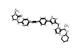 C[C@H](OC1CCCCO1)c1nccn1Cc1cc(-c2ccc(C#Cc3ccc(CN4CCN(C)C4=O)nc3)cc2)on1